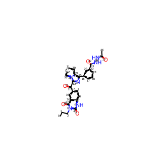 CCCn1c(=O)[nH]c2ccc(C(=O)c3nc(-c4cccc(C(=O)NNC(C)=O)c4)c4ccccn34)cc2c1=O